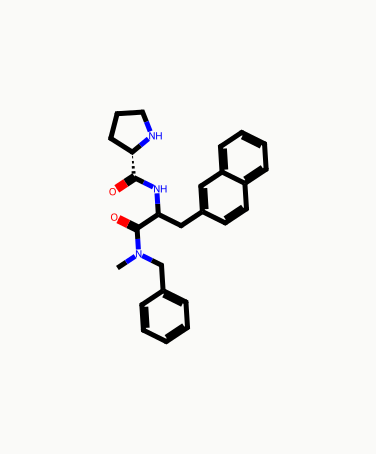 CN(Cc1ccccc1)C(=O)C(Cc1ccc2ccccc2c1)NC(=O)[C@@H]1CCCN1